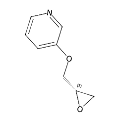 c1cncc(OC[C@@H]2CO2)c1